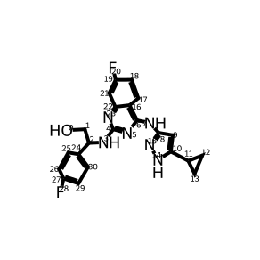 OCC(Nc1nc(Nc2cc(C3CC3)[nH]n2)c2ccc(F)cc2n1)c1ccc(F)cc1